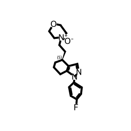 [O-][N+]1(CC[C@@H]2CCCc3c2cnn3-c2ccc(F)cc2)CCOCC1